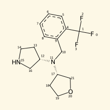 FC(F)(F)c1ccccc1CN([C@H]1CCNC1)[C@H]1CCOC1